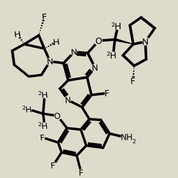 [2H]C([2H])([2H])Oc1c(F)c(F)c(F)c2cc(N)cc(-c3ncc4c(N5CCCC[C@H]6[C@H](F)[C@H]65)nc(OC([2H])([2H])[C@@]56CCCN5C[C@H](F)C6)nc4c3F)c12